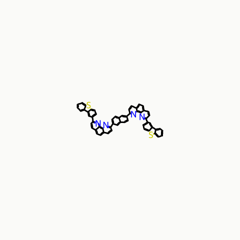 c1ccc2c(c1)sc1ccc(-c3ccc4ccc5ccc(-c6ccc7cc(-c8ccc9ccc%10ccc(-c%11ccc%12sc%13ccccc%13c%12c%11)nc%10c9n8)ccc7c6)nc5c4n3)cc12